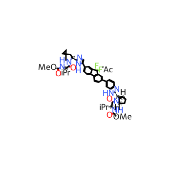 CC(C)=O.COC(=O)N[C@H](C(=O)N1CC2(CC2)C[C@H]1c1ncc(-c2ccc3c(c2)C(F)(F)c2cc(-c4ccc5nc([C@@H]6[C@H]7CC[C@H](C7)N6C(=O)[C@@H](NC(=O)OC)C(C)C)[nH]c5c4)ccc2-3)[nH]1)C(C)C